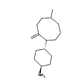 C=C1CCC(C)CCCC1[C@H]1CC[C@H](N)CC1